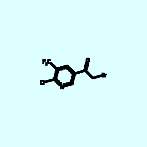 O=C(CBr)c1cnc(Cl)c(C(F)(F)F)c1